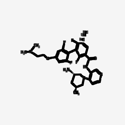 C[C@@H]1C[C@H](N)CN(c2ccncc2NC(=O)c2ccc(F)c(-c3c(F)cc(OCCN(C)C)cc3F)c2F)C1.Cl.Cl.Cl